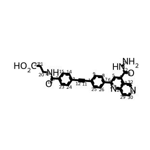 NNC(=O)c1cc(-c2ccc(C#Cc3ccc(C(=O)NCCC(=O)O)cc3)cc2)nc2ccncc12